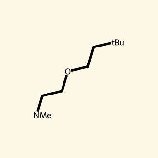 CNCCOCCC(C)(C)C